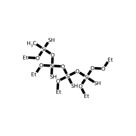 CCOO[Si](S)(OCC)O[Si](S)(OCC)O[Si](S)(OCC)O[Si](C)(S)OCC